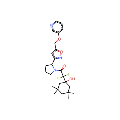 CC1(C)CC(C)(C)CC(O)(C(F)(F)C(=O)N2CCC[C@H]2c2cc(COc3cccnc3)on2)C1